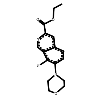 CCOC(=O)c1cc2ccc(N3CCOCC3)c(Br)c2cn1